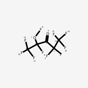 CC(F)(C(=O)C(F)(OF)C(F)(F)F)C(F)(F)F